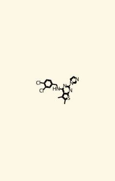 Cc1sc2nc(-n3ccnc3)nc(NCc3ccc(Cl)c(Cl)c3)c2c1C